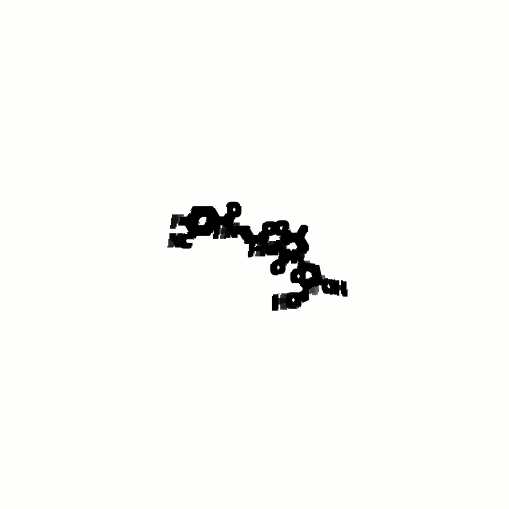 Cc1cn([C@H]2C[C@H](O)[C@@H](CO)O2)c(=O)n(NC(=O)CCNC(=O)c2ccc(F)c(C#N)c2)c1=O